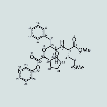 COC(=O)[C@H](CCSC)NC(=O)C(Cc1ccccc1)OC(C(=O)Oc1cccnc1)[C@@H]1CCCN1